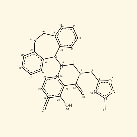 Cc1noc(CN2CN(C3c4ccccc4CSc4ccccc43)n3ccc(=O)c(O)c3C2=O)n1